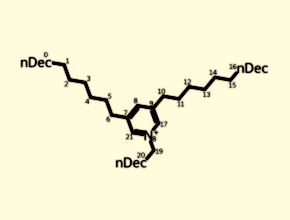 CCCCCCCCCCCCCCCCc1cc(CCCCCCCCCCCCCCCC)c[n+](CCCCCCCCCCC)c1